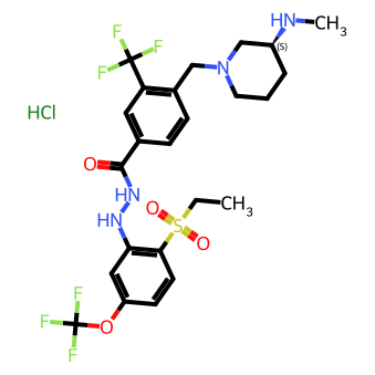 CCS(=O)(=O)c1ccc(OC(F)(F)F)cc1NNC(=O)c1ccc(CN2CCC[C@H](NC)C2)c(C(F)(F)F)c1.Cl